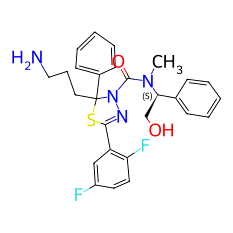 CN(C(=O)N1N=C(c2cc(F)ccc2F)SC1(CCCN)c1ccccc1)[C@H](CO)c1ccccc1